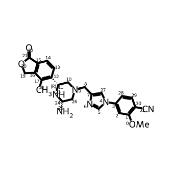 COc1cc(-n2cnc(CN3C[C@@H](c4ccc5c(c4C)COC5=O)N[C@@H](N)C3)c2)ccc1C#N